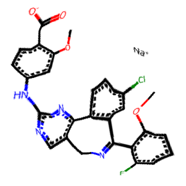 COc1cc(Nc2ncc3c(n2)-c2ccc(Cl)cc2C(c2c(F)cccc2OC)=NC3)ccc1C(=O)[O-].[Na+]